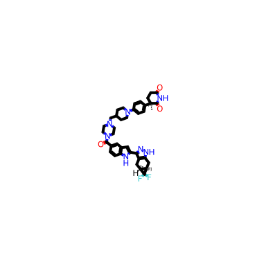 C[C@]1(c2ccc(N3CCC(CN4CCN(C(=O)c5ccc6[nH]c(-c7n[nH]c8c7C[C@@H]7C(F)(F)[C@]7(C)C8)cc6c5)CC4)CC3)cc2)CCC(=O)NC1=O